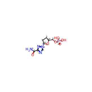 NC(=O)c1ncn([C@H]2CC[C@@H](COP(=O)(O)O)O2)n1